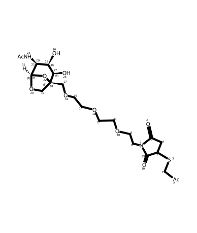 CC(=O)CSC1CC(=O)N(CCOCCOCCOC[C@@]23CO[C@H](O2)[C@@H](NC(C)=O)[C@@H](O)[C@H]3O)C1=O